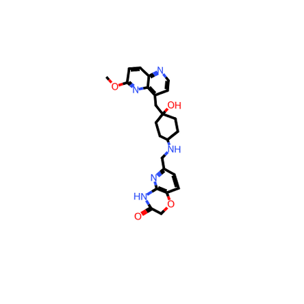 COc1ccc2nccc(CC3(O)CCC(NCc4ccc5c(n4)NC(=O)CO5)CC3)c2n1